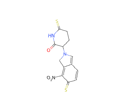 O=C1NC(=S)CCC1N1C=C2C=CC(=S)C([N+](=O)[O-])=C2C1